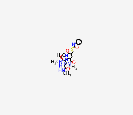 CNC(=O)CCC(CC(CC(CSc1nc2ccccc2o1)C(=O)NC)C(=O)NC)C(=O)NC